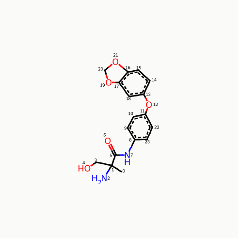 CC(N)(CO)C(=O)Nc1ccc(Oc2ccc3c(c2)OCO3)cc1